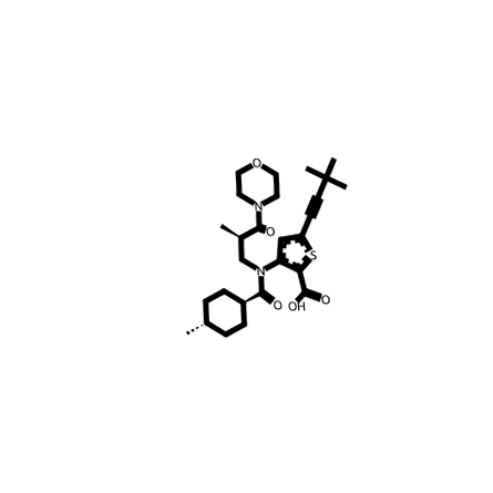 C[C@H](CN(c1cc(C#CC(C)(C)C)sc1C(=O)O)C(=O)[C@H]1CC[C@H](C)CC1)C(=O)N1CCOCC1